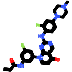 C=CC(=O)Nc1cc(F)cc(-n2ccc(=O)c3cnc(Nc4ccc(N5CCN(C)CC5)cc4F)nc32)c1